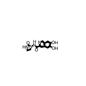 O=C(NN1CCNC1=O)c1cc2cc(O)c(O)cc2cn1